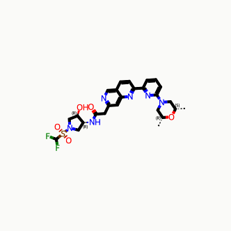 C[C@@H]1CN(c2cccc(-c3ccc4cnc(CC(=O)N[C@@H]5CN(S(=O)(=O)C(F)F)C[C@H]5O)cc4n3)n2)C[C@H](C)O1